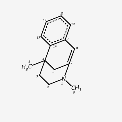 CN1CCC2(C)CC1=Cc1ccccc12